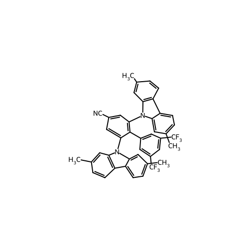 Cc1ccc2c3ccc(C)cc3n(-c3cc(C#N)cc(-n4c5cc(C)ccc5c5ccc(C)cc54)c3-c3cc(C(F)(F)F)cc(C(F)(F)F)c3)c2c1